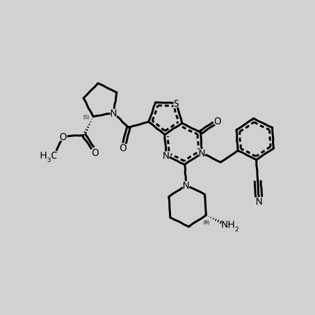 COC(=O)[C@@H]1CCCN1C(=O)c1csc2c(=O)n(Cc3ccccc3C#N)c(N3CCC[C@@H](N)C3)nc12